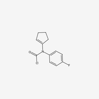 O=C(Cl)N(C1=CCCC1)c1ccc(F)cc1